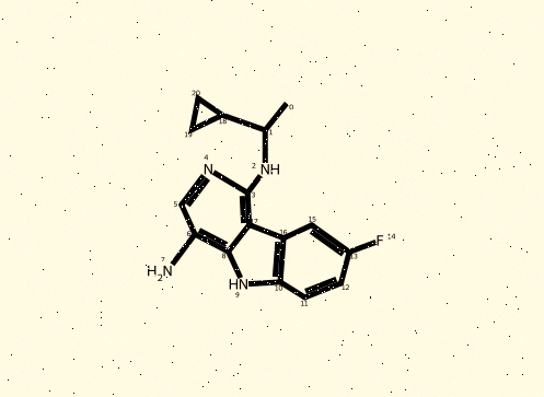 CC(Nc1ncc(N)c2[nH]c3ccc(F)cc3c12)C1CC1